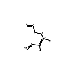 C=CCCC(C)=C(C)C=O